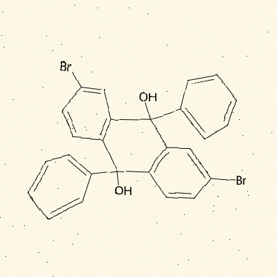 OC1(c2ccccc2)c2ccc(Br)cc2C(O)(c2ccccc2)c2cc(Br)ccc21